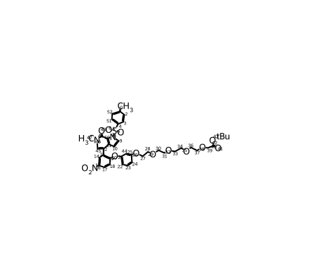 Cc1ccc(S(=O)(=O)n2ccc3c(-c4cc([N+](=O)[O-])ccc4Oc4cccc(OCCOCCOCCOCCOCC(=O)OC(C)(C)C)c4)cn(C)c(=O)c32)cc1